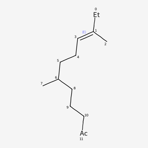 CC/C(C)=C/CCC(C)CCCC(C)=O